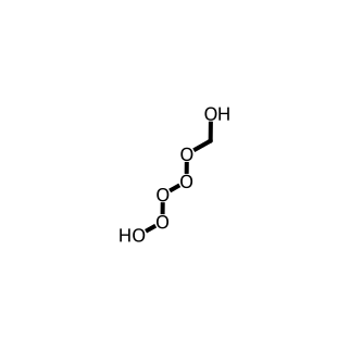 OCOOOOO